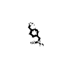 C=Cc1ccc(CN(C(C)C)C(C)(C)C)cc1